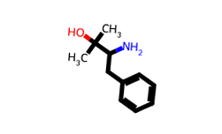 CC(C)(O)C(N)Cc1ccccc1